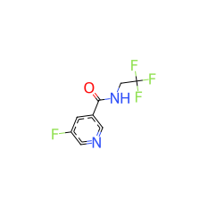 O=C(NCC(F)(F)F)c1cncc(F)c1